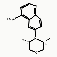 C[C@@H]1COC[C@H](C)N1c1ccc2nccc(C(=O)O)c2c1